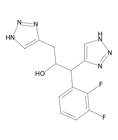 OC(Cc1c[nH]nn1)C(c1c[nH]nn1)c1cccc(F)c1F